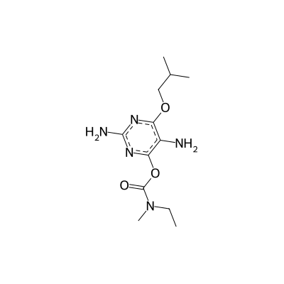 CCN(C)C(=O)Oc1nc(N)nc(OCC(C)C)c1N